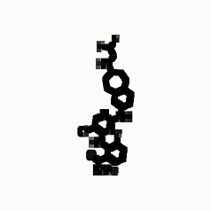 CNC(=O)c1cccc(F)c1Nc1nc(Nc2ccc3c(c2)CCC(NCC(F)F)CC3)ncc1Cl